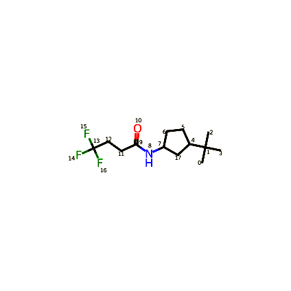 CC(C)(C)C1CCC(NC(=O)CCC(F)(F)F)C1